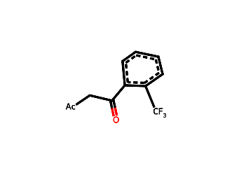 CC(=O)CC(=O)c1ccccc1C(F)(F)F